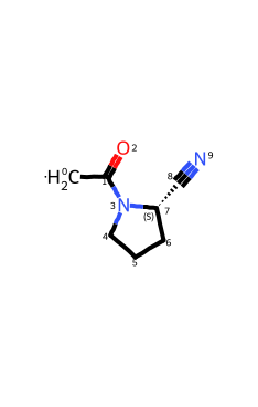 [CH2]C(=O)N1CCC[C@H]1C#N